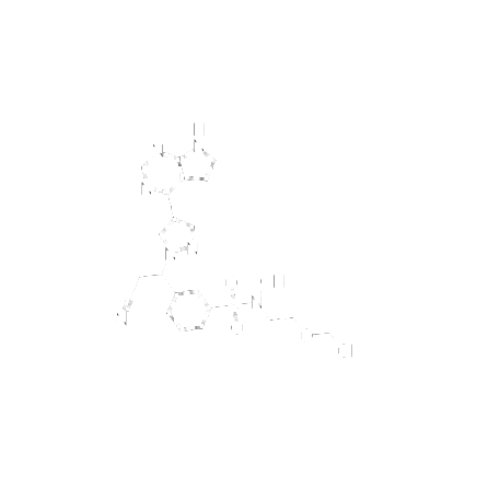 CCOCCN(C)S(=O)(=O)c1cccc(C(CC#N)n2cc(-c3ncnc4[nH]ccc34)cn2)c1